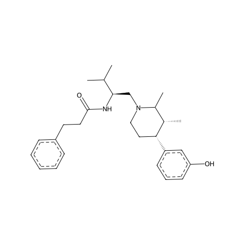 CC(C)[C@@H](CN1CC[C@@H](c2cccc(O)c2)[C@@H](C)C1C)NC(=O)CCc1ccccc1